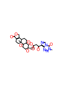 CC(C)C12OC1C1OC13C1(C)CCC4=C(COC4=O)C1CC1OC13C2OC(=O)CC(=O)c1ncn2c(=O)n(C)nnc12